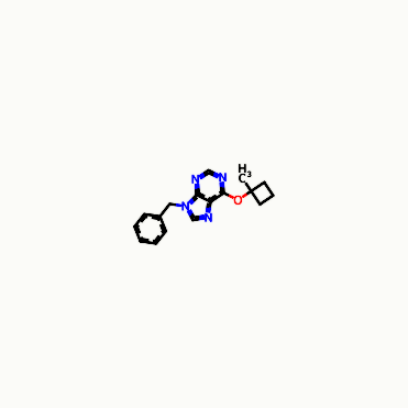 CC1(Oc2ncnc3c2ncn3Cc2ccccc2)CCC1